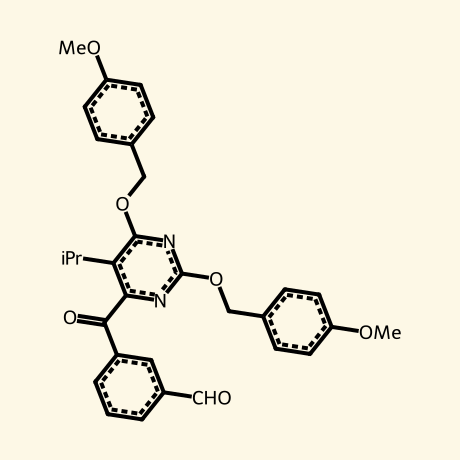 COc1ccc(COc2nc(OCc3ccc(OC)cc3)c(C(C)C)c(C(=O)c3cccc(C=O)c3)n2)cc1